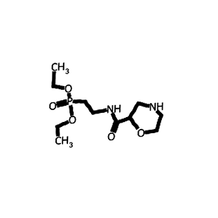 CCOP(=O)(CCNC(=O)C1CNCCO1)OCC